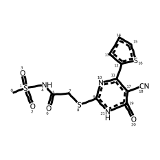 CS(=O)(=O)NC(=O)CSc1nc(-c2cccs2)c(C#N)c(=O)[nH]1